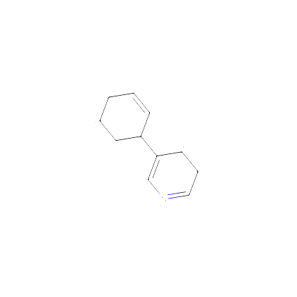 C1=CC(C2=CN=CCC2)CCC1